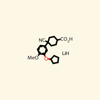 COc1ccc(C2(C#N)CCC(C(=O)O)CC2)cc1OC1CCCC1.[LiH]